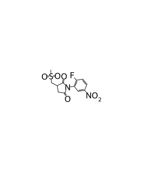 CS(=O)(=O)CC1CC(=O)N(c2cc([N+](=O)[O-])ccc2F)C1=O